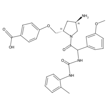 COc1cccc(C(NC(=O)Nc2ccccc2C)C(=O)N2C[C@H](N)C[C@H]2COc2ccc(C(=O)O)cc2)c1